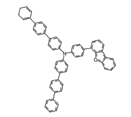 C1=CC(c2ccc(-c3ccc(N(c4ccc(-c5ccc(-c6ccccc6)cc5)cc4)c4ccc(-c5cccc6c5oc5ccccc56)cc4)cc3)cc2)=CCC1